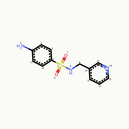 Nc1ccc(S(=O)(=O)NCc2cccnc2)cc1